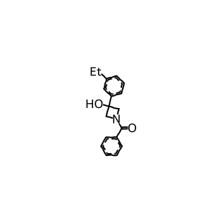 CCc1cccc(C2(O)CN(C(=O)c3ccccc3)C2)c1